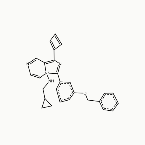 C1=CC(C2=C3C=NC=C[N+]3(NCC3CC3)C(c3cccc(OCc4ccccc4)c3)=N2)=C1